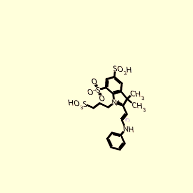 CC1(C)C(/C=C/Nc2ccccc2)=[N+](CCCS(=O)(=O)O)c2c1cc(S(=O)(=O)O)cc2S(=O)(=O)[O-]